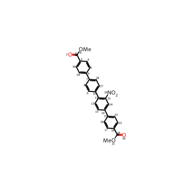 COC(=O)c1ccc(-c2ccc(-c3ccc(-c4ccc(C(=O)OC)cc4)cc3[N+](=O)[O-])cc2)cc1